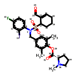 Cc1cc(CN(c2ccc(F)cc2I)S(=O)(=O)C2CCCC=C2C=O)cc(C)c1OC(=O)[C@@H]1CCCN1C